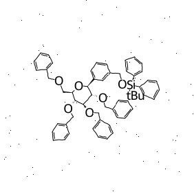 CC(C)(C)[Si](OCc1cccc([C@@H]2O[C@H](COCc3ccccc3)[C@@H](OCc3ccccc3)[C@H](OCc3ccccc3)[C@H]2OCc2ccccc2)c1)(c1ccccc1)c1ccccc1